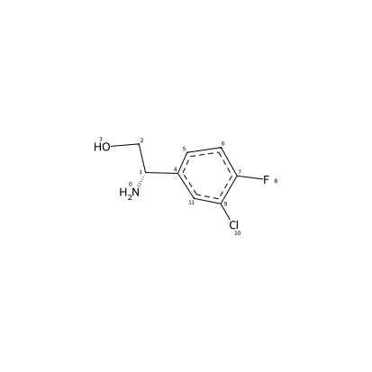 N[C@H](CO)c1ccc(F)c(Cl)c1